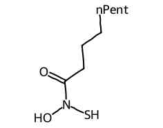 CCCCCCCCC(=O)N(O)S